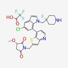 COC1CC(=O)N(Cc2cc3nccc(-c4cc(Cl)cc5ccn(CC6(F)CCNCC6)c45)c3s2)C1=O.O=C(O)C(F)(F)F